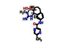 Cc1cnc(C(=O)Nc2ccc3c(c2)[C@@]2(C)NC(=N)N(C)S(O)(O)[C@H]2CCC3)cn1